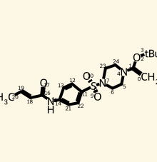 C=C(OC(C)(C)C)N1CCN(S(=O)(=O)c2ccc(NC(=O)/C=C/C)cc2)CC1